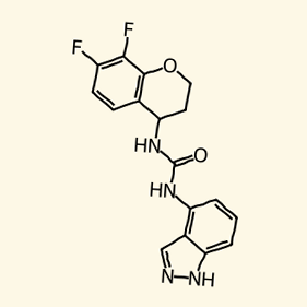 O=C(Nc1cccc2[nH]ncc12)NC1CCOc2c1ccc(F)c2F